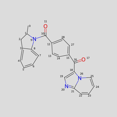 CC1Cc2ccccc2N1C(=O)c1ccc(C(=O)c2cnc3ccccn23)cc1